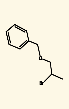 CC(Br)COCc1ccccc1